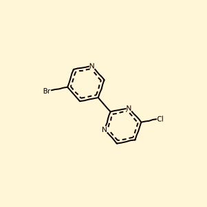 Clc1ccnc(-c2cncc(Br)c2)n1